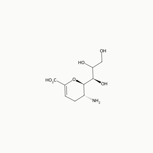 N[C@@H]1CC=C(C(=O)O)O[C@H]1[C@H](O)C(O)CO